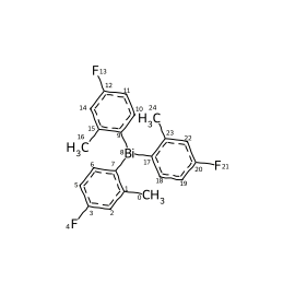 Cc1cc(F)cc[c]1[Bi]([c]1ccc(F)cc1C)[c]1ccc(F)cc1C